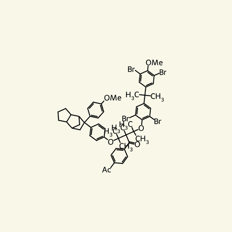 COc1ccc(C2(c3ccc(OC(C)(C)C(C)(C(=O)c4ccc(C(C)=O)cc4)C(C)(C)Oc4c(Br)cc(C(C)(C)c5cc(Br)c(OC)c(Br)c5)cc4Br)cc3)CC3CC2C2CCCC32)cc1